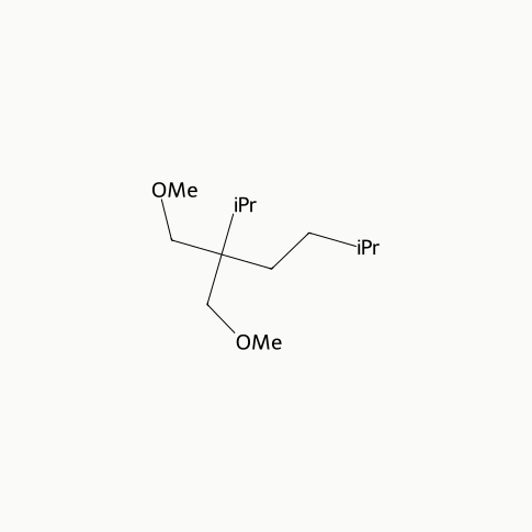 COCC(CCC(C)C)(COC)C(C)C